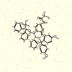 COc1ccc(C(OC[C@@H](CO[Si](c2ccccc2)(c2ccccc2)C(C)(C)C)n2ccc(NC(=O)C(C)C)nc2=O)(c2ccccc2)c2ccc(OC)cc2)cc1